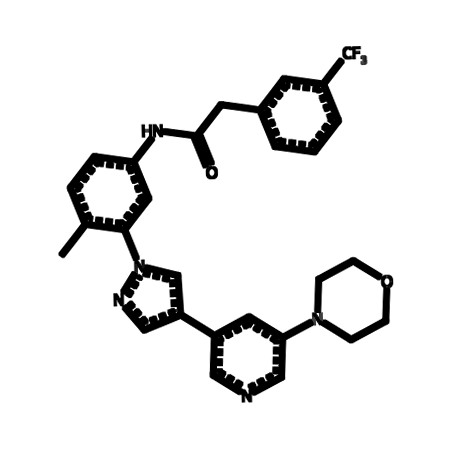 Cc1ccc(NC(=O)Cc2cccc(C(F)(F)F)c2)cc1-n1cc(-c2cncc(N3CCOCC3)c2)cn1